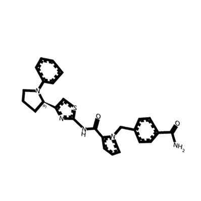 NC(=O)c1ccc(Cn2cccc2C(=O)Nc2nc([C@H]3CCCN3c3ccccc3)cs2)cc1